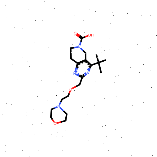 CC(C)(C)c1nc(COCCN2CCOCC2)nc2c1CN(C(=O)O)CC2